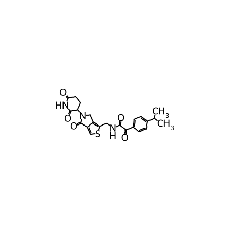 CC(C)c1ccc(C(=O)C(=O)NCc2scc3c2CN(C2CCC(=O)NC2=O)C3=O)cc1